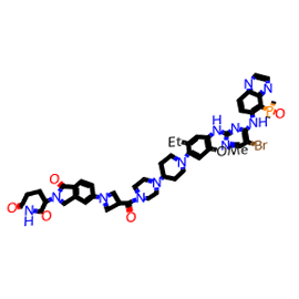 CCc1cc(Nc2ncc(Br)c(Nc3ccc4nccnc4c3P(C)(C)=O)n2)c(OC)cc1N1CCC(N2CCN(C(=O)C3CN(c4ccc5c(c4)CN(C4CCC(=O)NC4=O)C5=O)C3)CC2)CC1